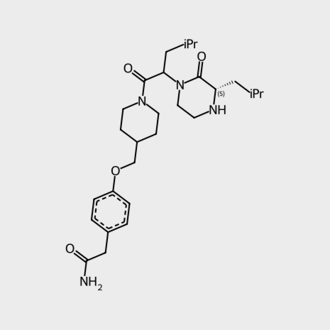 CC(C)CC(C(=O)N1CCC(COc2ccc(CC(N)=O)cc2)CC1)N1CCN[C@@H](CC(C)C)C1=O